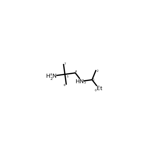 CCC(C)NCC(C)(C)N